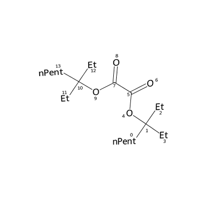 CCCCCC(CC)(CC)OC(=O)C(=O)OC(CC)(CC)CCCCC